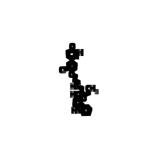 CCC(Oc1cccc2[nH]c3ccccc3c12)C(O)CNCCCOc1ccc(C2=NNC(=O)CC2)cc1Cl